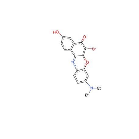 CCN(CC)c1ccc2nc3c4ccc(O)cc4c(=O)c(Br)c-3oc2c1